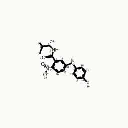 CC(C)[C@H](C)NC(=O)c1cc(Oc2ccc(F)cc2)ccc1[N+](=O)[O-]